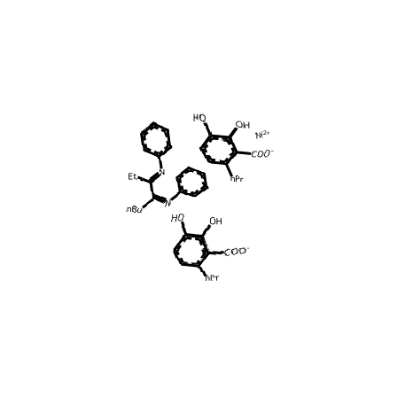 CCCCC(=Nc1ccccc1)C(CC)=Nc1ccccc1.CCCc1ccc(O)c(O)c1C(=O)[O-].CCCc1ccc(O)c(O)c1C(=O)[O-].[Ni+2]